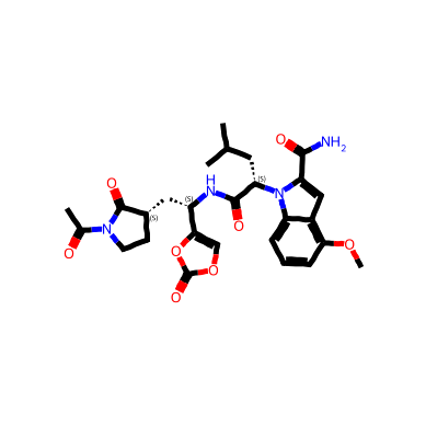 COc1cccc2c1cc(C(N)=O)n2[C@@H](CC(C)C)C(=O)N[C@@H](C[C@@H]1CCN(C(C)=O)C1=O)c1coc(=O)o1